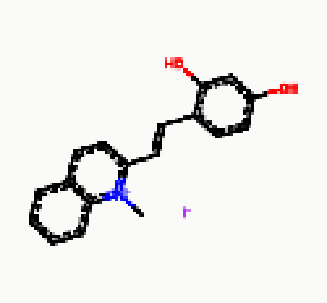 C[n+]1c(/C=C/c2ccc(O)cc2O)ccc2ccccc21.[I-]